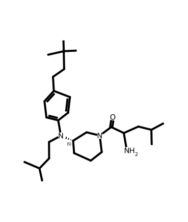 CC(C)CCN(c1ccc(CCC(C)(C)C)cc1)[C@H]1CCCN(C(=O)C(N)CC(C)C)C1